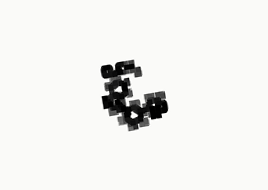 CC(=O)c1ccc2c(c1)ncn2-c1cccc(-c2ccon2)c1